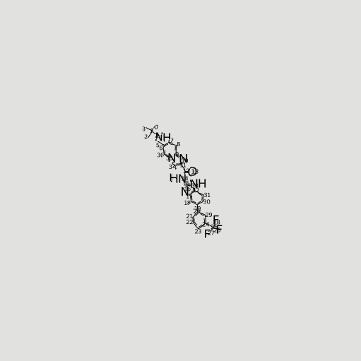 CC(C)(C)NCc1ccc2nc(C(=O)Nc3nc4cc(-c5cccc(C(F)(F)F)c5)ccc4[nH]3)cn2c1